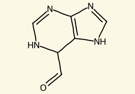 O=CC1NC=Nc2nc[nH]c21